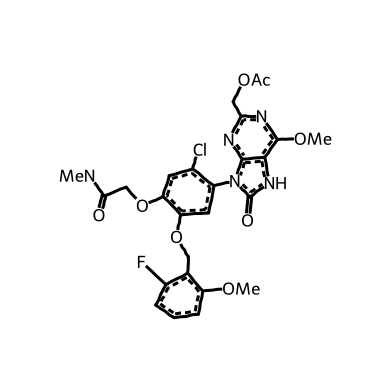 CNC(=O)COc1cc(Cl)c(-n2c(=O)[nH]c3c(OC)nc(COC(C)=O)nc32)cc1OCc1c(F)cccc1OC